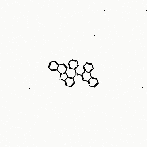 c1ccc(N(c2cc3ccccc3c3ccccc23)c2cccc3oc4c5ccccc5ccc4c23)cc1